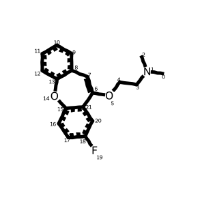 CN(C)CCOC1=Cc2ccccc2Oc2ccc(F)cc21